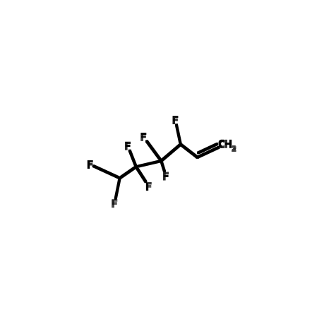 C=CC(F)C(F)(F)C(F)(F)C(F)F